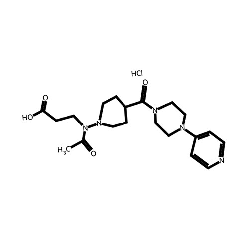 CC(=O)N(CCC(=O)O)N1CCC(C(=O)N2CCN(c3ccncc3)CC2)CC1.Cl